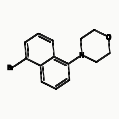 Brc1cccc2c(N3CCOCC3)cccc12